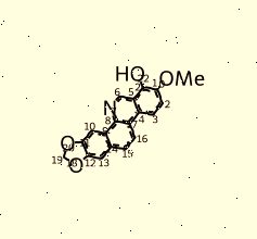 COc1ccc2c(cnc3c4cc5c(cc4ccc23)OCO5)c1O